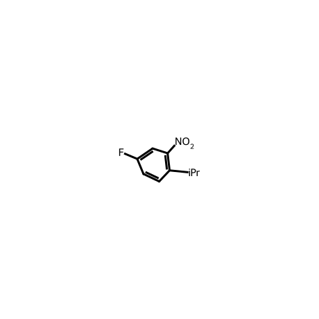 CC(C)c1ccc(F)cc1[N+](=O)[O-]